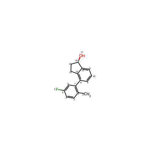 Cc1ccc(F)cc1-c1cccc2c1CC[C@H]2O